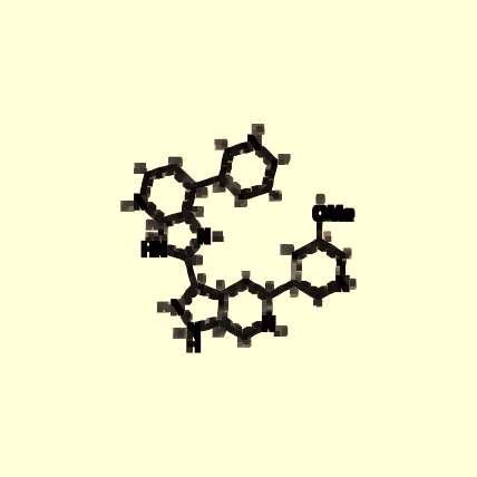 COc1cncc(-c2cc3c(-c4nc5c(-c6cccnc6)ccnc5[nH]4)n[nH]c3cn2)c1